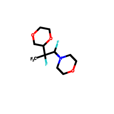 FC(N1CCOCC1)C(F)(C1COCCO1)C(F)(F)F